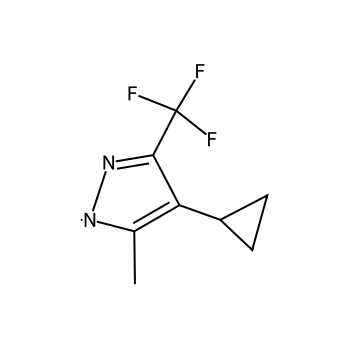 CC1=C(C2CC2)C(C(F)(F)F)=N[N]1